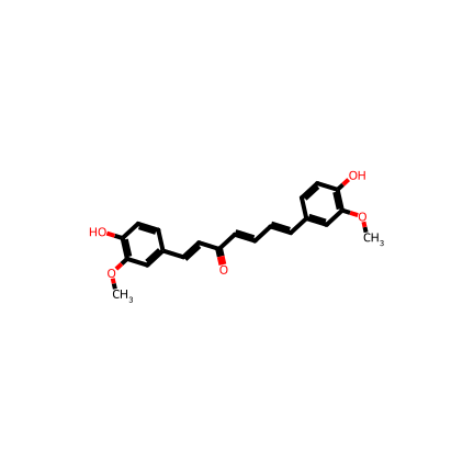 COc1cc(C=CC=CC(=O)C=Cc2ccc(O)c(OC)c2)ccc1O